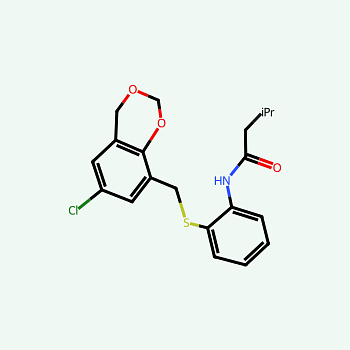 CC(C)CC(=O)Nc1ccccc1SCc1cc(Cl)cc2c1OCOC2